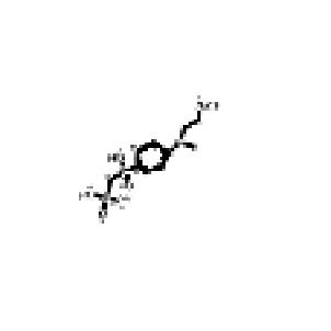 CNCCN(C)c1ccc(P(=O)(O)CP(=O)(O)O)cc1